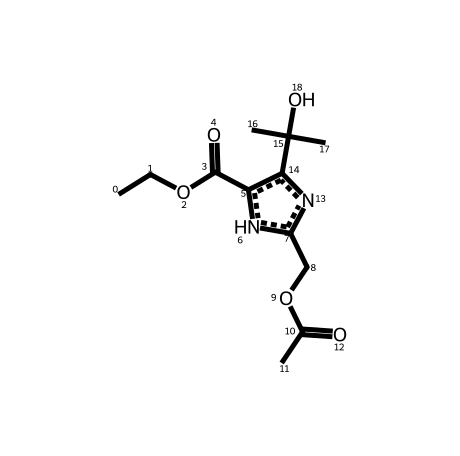 CCOC(=O)c1[nH]c(COC(C)=O)nc1C(C)(C)O